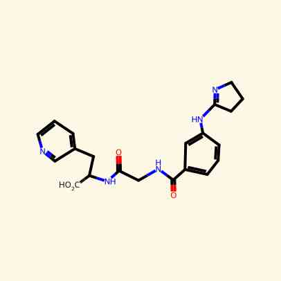 O=C(CNC(=O)c1cccc(NC2=NCCC2)c1)NC(Cc1cccnc1)C(=O)O